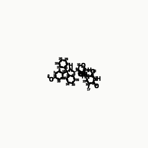 COc1ccc(C(NC[C@@]23CO[C@@H]([C@H](n4cc(C)c(=O)[nH]c4=O)O2)[C@@H]3O)(c2ccccc2)c2ccccc2)cc1